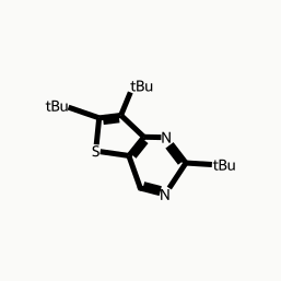 CC(C)(C)c1ncc2sc(C(C)(C)C)c(C(C)(C)C)c2n1